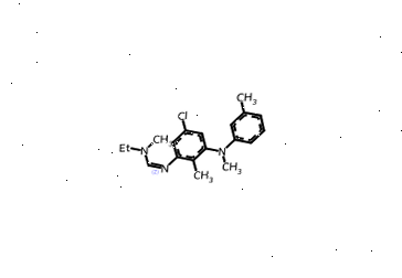 CCN(C)/C=N\c1cc(Cl)cc(N(C)c2cccc(C)c2)c1C